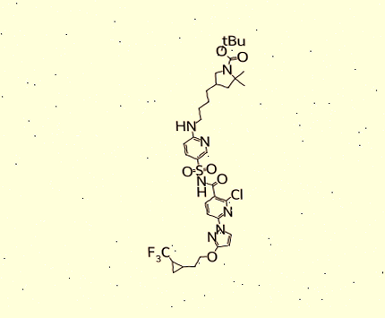 CC(C)(C)OC(=O)N1CC(CCCCNc2ccc(S(=O)(=O)NC(=O)c3ccc(-n4ccc(OCCC5CC5C(F)(F)F)n4)nc3Cl)cn2)CC1(C)C